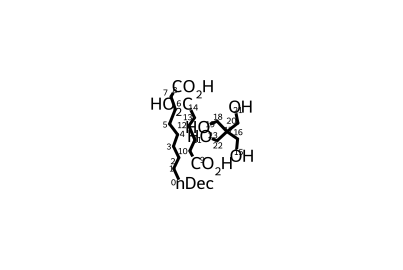 CCCCCCCCCCCCCCCCCC(=O)O.O=C(O)CCCCC(=O)O.OCC(CO)(CO)CO